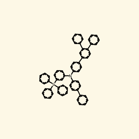 c1ccc(-c2ccc(N(c3ccc(-c4ccc(-c5ccccc5)c(-c5ccccc5)c4)cc3)c3cccc([Si](c4ccccc4)(c4ccccc4)c4ccccc4)c3)cc2)cc1